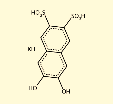 O=S(=O)(O)c1cc2cc(O)c(O)cc2cc1S(=O)(=O)O.[KH]